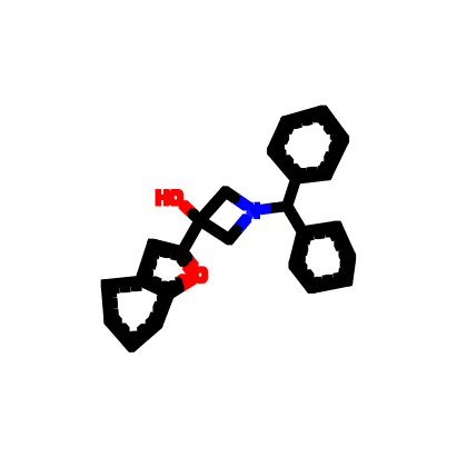 OC1(c2cc3ccccc3o2)CN(C(c2ccccc2)c2ccccc2)C1